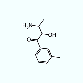 Cc1cccc(C(=O)C(O)C(C)N)c1